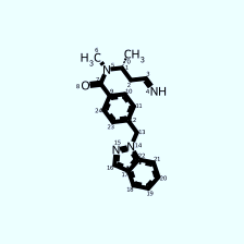 C[C@H](CC=N)N(C)C(=O)c1ccc(Cn2ncc3ccccc32)cc1